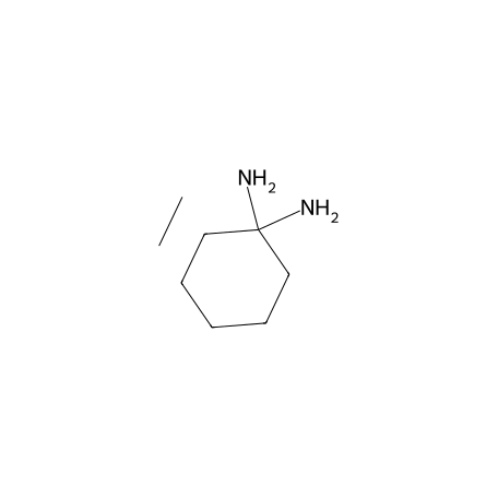 CC.NC1(N)CCCCC1